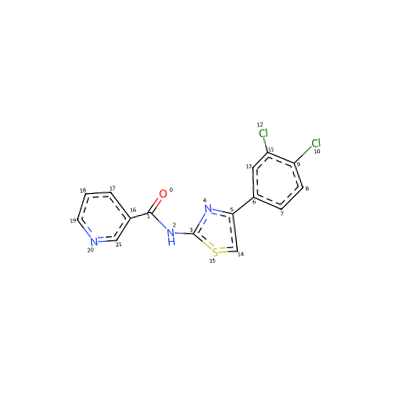 O=C(Nc1nc(-c2ccc(Cl)c(Cl)c2)cs1)c1cccnc1